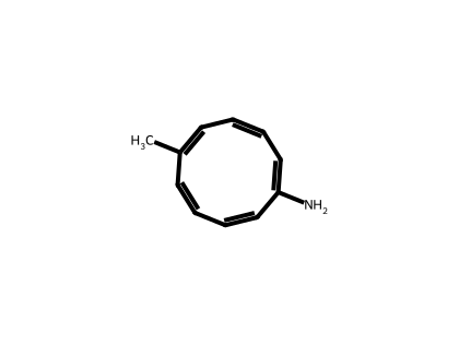 Cc1ccccc(N)cccc1